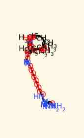 CO[C@@H]1C[C@H](C[C@@H](C)[C@@H]2CC(=O)[C@H](C)/C=C(\C)[C@@H](O)[C@@H](OC)C(=O)[C@H](C)C[C@H](C)/C=C/C=C/C=C(\C)CC[C@@H]3CC[C@@H](C)[C@@](O)(O3)C(=O)C(=O)N3CCCC[C@H]3C(=O)O2)CCC1OCCOCc1cn(CCOCCOCCOCCOCCOCCOCCOCCOCCC(=O)NCCCCn2nc(-c3ccc4oc(N)nc4c3)c3c(N)ncnc32)nn1